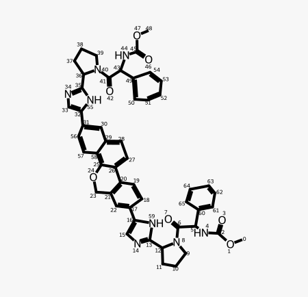 COC(=O)NC(C(=O)N1CCCC1c1ncc(-c2ccc3c(c2)COc2c-3ccc3cc(-c4cnc(C5CCCN5C(=O)C(NC(=O)OC)c5ccccc5)[nH]4)ccc23)[nH]1)c1ccccc1